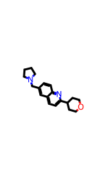 c1cc2nc(C3CCOCC3)ccc2cc1CN1CCCC1